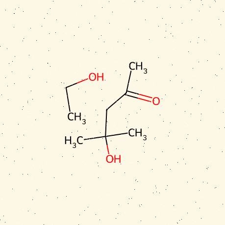 CC(=O)CC(C)(C)O.CCO